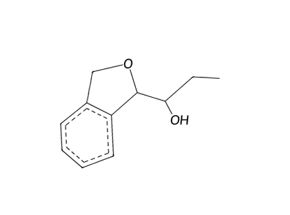 CCC(O)C1OCc2ccccc21